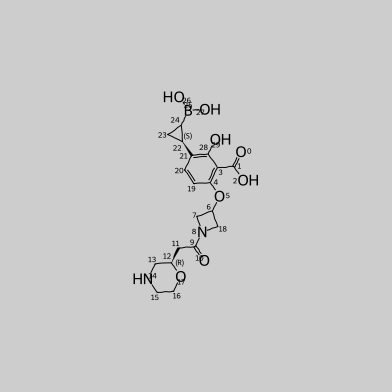 O=C(O)c1c(OC2CN(C(=O)C[C@@H]3CNCCO3)C2)ccc([C@H]2CC2B(O)O)c1O